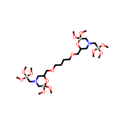 CO[Si](CN1CC(COCCCCOCC2CN(C[Si](OC)(OC)OC)C[Si](OC)(OC)O2)O[Si](OC)(OC)C1)(OC)OC